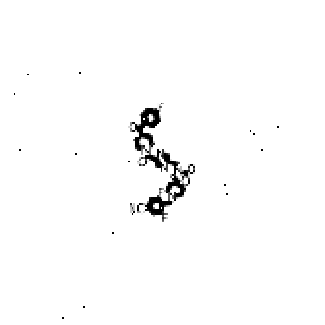 N#Cc1cc(F)c(CN2CCC3(CC2)CN(Cc2cnc(C(=O)N4CCC(C(=O)c5ccc(F)cc5)CC4)cn2)C(=O)O3)c(F)c1